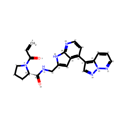 C=CC(=O)N1CCC[C@H]1C(=O)NCc1cc2c(-c3cnn4ncccc34)ccnc2[nH]1